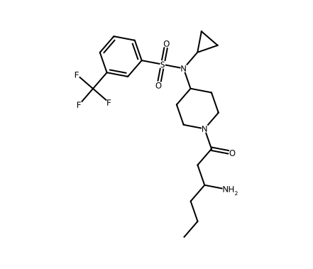 CCCC(N)CC(=O)N1CCC(N(C2CC2)S(=O)(=O)c2cccc(C(F)(F)F)c2)CC1